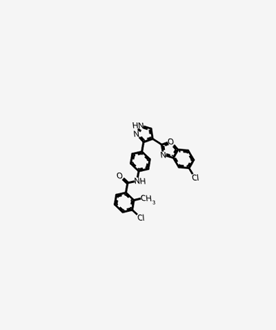 Cc1c(Cl)cccc1C(=O)Nc1ccc(-c2n[nH]cc2-c2nc3cc(Cl)ccc3o2)cc1